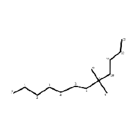 [CH2]CCCCCCC(C)(C)CCCC